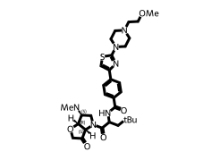 CN[C@H]1CN(C(=O)C(CC(C)(C)C)NC(=O)c2ccc(-c3csc(N4CCN(CCOC)CC4)n3)cc2)[C@@H]2C(=O)CO[C@H]12